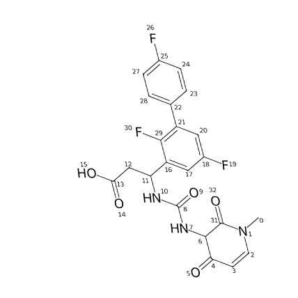 CN1C=CC(=O)C(NC(=O)NC(CC(=O)O)c2cc(F)cc(-c3ccc(F)cc3)c2F)C1=O